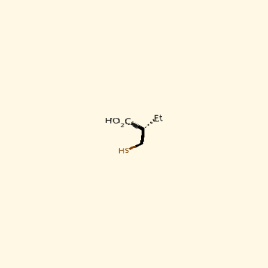 CC[C@H](CS)C(=O)O